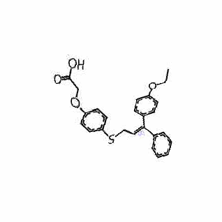 CCOc1ccc(/C(=C\CSc2ccc(OCC(=O)O)cc2)c2ccccc2)cc1